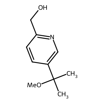 COC(C)(C)c1ccc(CO)nc1